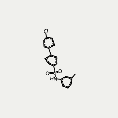 Cc1cccc(NS(=O)(=O)c2ccc(-c3ccc(Cl)cc3)cc2)c1